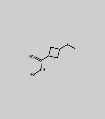 CSC1CC(C(=N)NO)C1